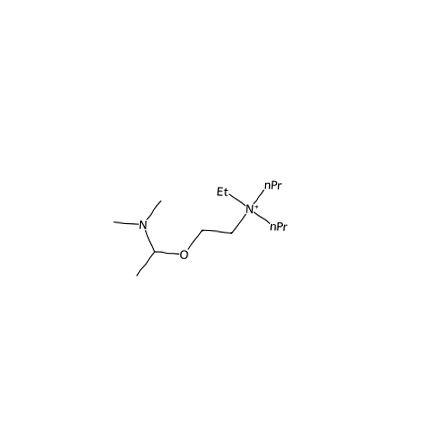 CCC[N+](CC)(CCC)CCOC(C)N(C)C